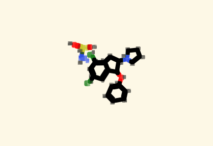 Clc1cc(Cl)c2c(c1)C(Oc1ccccc1)C(N1CCCC1)C2.N[SH](=O)=O